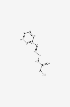 O=C(CCl)OCC=Cc1ccccc1